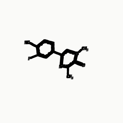 Cc1nc(-c2ccc(C#N)c(F)c2)cn(C)c1=O